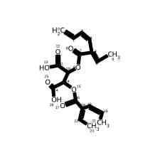 C=C/C=C\C(=C/C)C(=O)OC(C(=O)O)C(OC(=O)C(/C=C\C)=C/C)C(=O)O